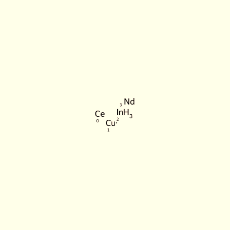 [Ce].[Cu].[InH3].[Nd]